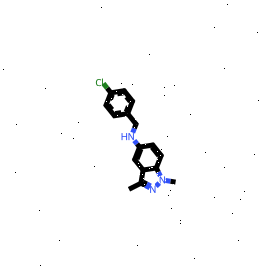 CC1=NN(C)C2C=CC(NCc3ccc(Cl)cc3)=CC12